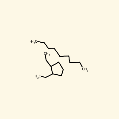 [CH2]CC1CCCC1CC.[CH2]CCCCCCCC